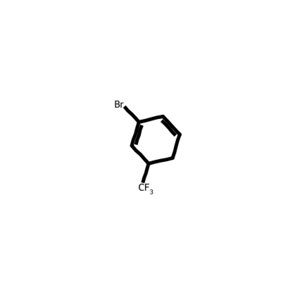 FC(F)(F)C1C=C(Br)C=CC1